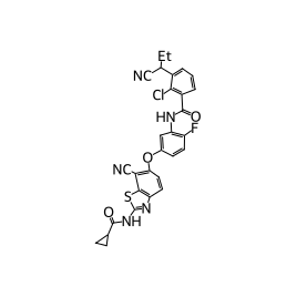 CCC(C#N)c1cccc(C(=O)Nc2cc(Oc3ccc4nc(NC(=O)C5CC5)sc4c3C#N)ccc2F)c1Cl